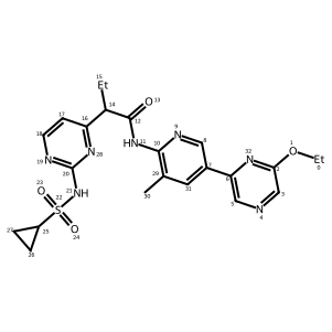 CCOc1cncc(-c2cnc(NC(=O)C(CC)c3ccnc(NS(=O)(=O)C4CC4)n3)c(C)c2)n1